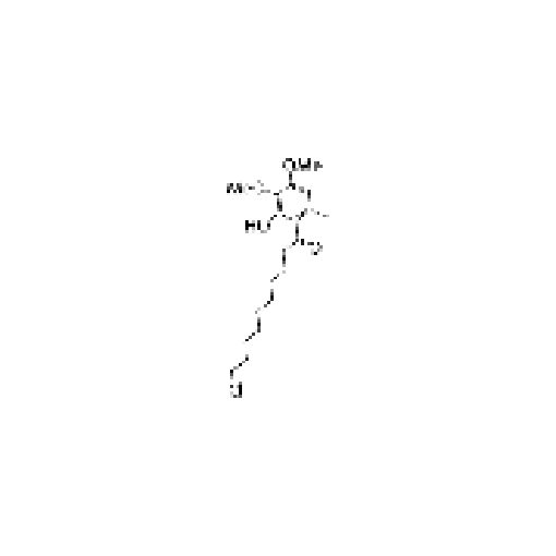 COc1cc(C)c(C(=O)CCCCCCCCCCl)c(O)c1OC